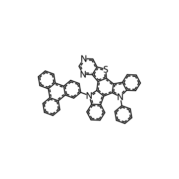 c1ccc(-n2c3ccccc3c3c4sc5cncnc5c4c4c(c5ccccc5n4-c4ccc5c6ccccc6c6ccccc6c5c4)c32)cc1